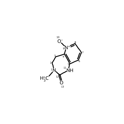 CN1CCc2c(ccc[n+]2[O-])NC1=O